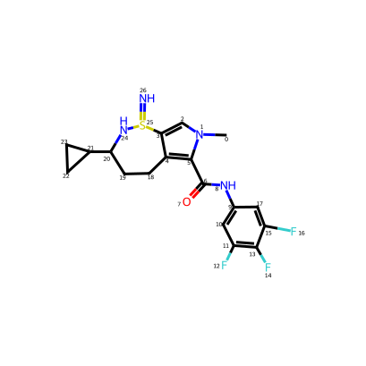 Cn1cc2c(c1C(=O)Nc1cc(F)c(F)c(F)c1)CCC(C1CC1)NS2=N